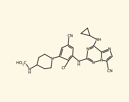 N#Cc1cc(Nc2nc(NC3CC3)c3ncc(C#N)n3n2)c(Cl)c(N2CCC(NC(=O)O)CC2)c1